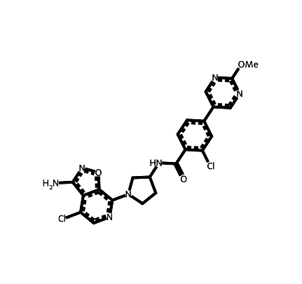 COc1ncc(-c2ccc(C(=O)NC3CCN(c4ncc(Cl)c5c(N)noc45)C3)c(Cl)c2)cn1